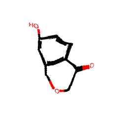 O=C1COCc2cc(O)ccc21